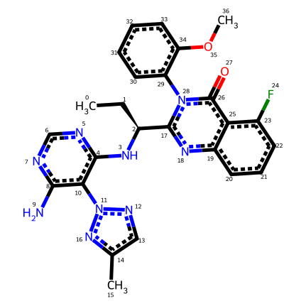 CC[C@H](Nc1ncnc(N)c1-n1ncc(C)n1)c1nc2cccc(F)c2c(=O)n1-c1ccccc1OC